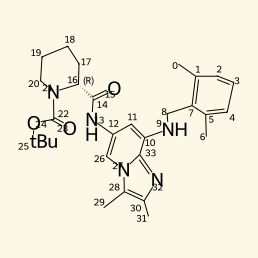 Cc1cccc(C)c1CNc1cc(NC(=O)[C@H]2CCCCN2C(=O)OC(C)(C)C)cn2c(C)c(C)nc12